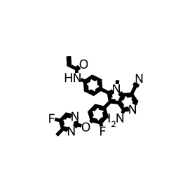 C=CC(=O)Nc1ccc(-c2c(-c3ccc(Oc4ncc(F)c(C)n4)c(F)c3)c3c(N)ncc(C#N)c3n2C)cc1